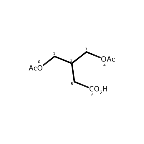 CC(=O)OCC(COC(C)=O)CC(=O)O